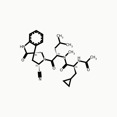 CC(=O)N[C@@H](CC1CC1)C(=O)N(C)[C@@H](CC(C)C)C(=O)N1C[C@]2(C[C@H]1C#N)C(=O)Nc1ccccc12